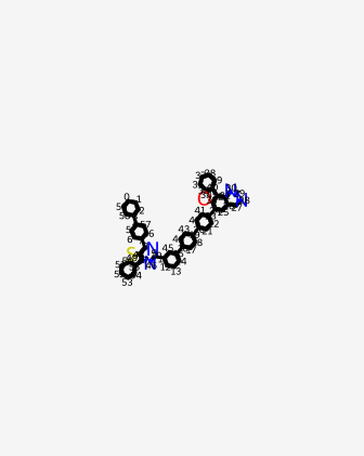 c1ccc(-c2ccc(-c3nc(-c4cccc(-c5ccc(-c6ccc(-c7cc8cncnc8c8c7oc7ccccc78)cc6)cc5)c4)nc4c3sc3ccccc34)cc2)cc1